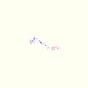 COc1cc(C(=O)NN2CCC(N3CC4(CCN(c5cc6c(cc5F)C(=O)N(C5CCC(=O)NC5=O)C6=O)CC4)C3)CC2)c(F)cc1Nc1ncc2c(n1)N(C(C)C)CC(F)(F)C(=O)N2C